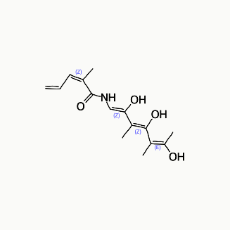 C=C/C=C(/C)C(=O)N/C=C(O)/C(C)=C(O)/C(C)=C(\C)O